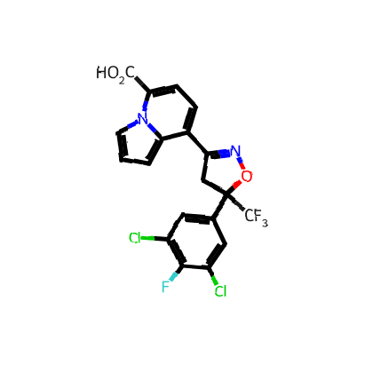 O=C(O)c1ccc(C2=NOC(c3cc(Cl)c(F)c(Cl)c3)(C(F)(F)F)C2)c2cccn12